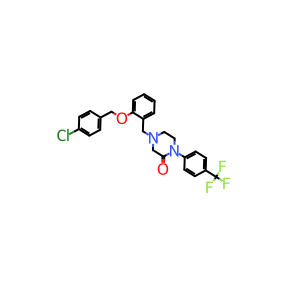 O=C1CN(Cc2ccccc2OCc2ccc(Cl)cc2)CCN1c1ccc(C(F)(F)F)cc1